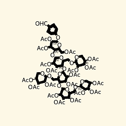 CC(=O)OCC1O[C@@H](Oc2ccc(C=O)cc2)C(OC(C)=O)C(OC(C)=O)[C@@H]1O[C@@H]1OC(CO[C@H]2OC[C@@H](OC(C)=O)C(OC(C)=O)C2OC(C)=O)[C@@H](O[C@@H]2OC(CO[C@H]3OC[C@@H](OC(C)=O)C(OC(C)=O)C3OC(C)=O)[C@@H](O[C@@H]3OC(CO[C@H]4OC[C@@H](OC(C)=O)C(OC(C)=O)C4OC(C)=O)[C@@H](OC(C)=O)C(OC(C)=O)C3OC(C)=O)C(OC(C)=O)C2OC(C)=O)C(OC(C)=O)C1OC(C)=O